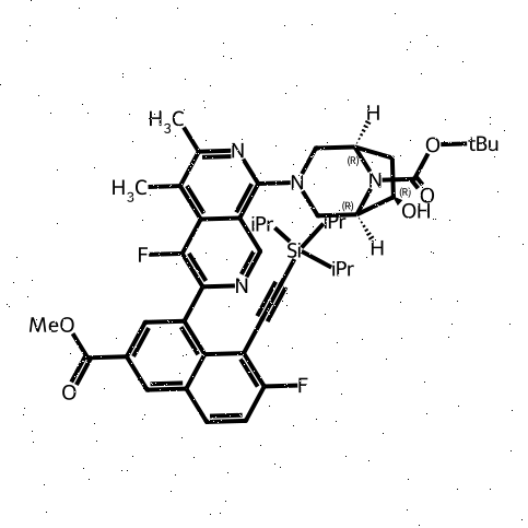 COC(=O)c1cc(-c2ncc3c(N4C[C@H]5C[C@@H](O)[C@@H](C4)N5C(=O)OC(C)(C)C)nc(C)c(C)c3c2F)c2c(C#C[Si](C(C)C)(C(C)C)C(C)C)c(F)ccc2c1